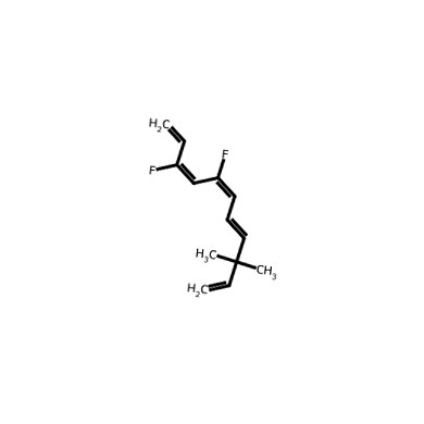 C=C\C(F)=C/C(F)=C\C=C\C(C)(C)C=C